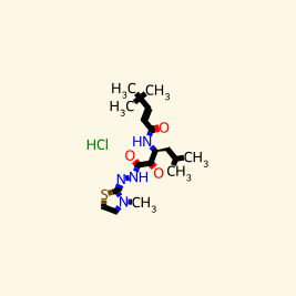 CC(C)C[C@H](NC(=O)C=CC(C)(C)C)C(=O)C(=O)NN=C1SCCN1C.Cl